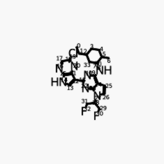 CCC1CCC(C)[C@H](Nc2nc(-c3c[nH]c4ncc(Cl)nc34)nc3c2ccn3C(CF)CF)C1